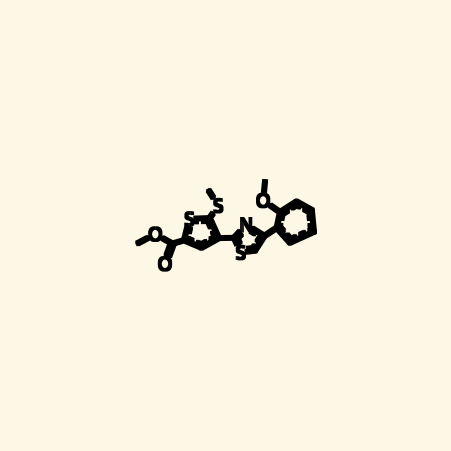 COC(=O)c1cc(-c2nc(-c3ccccc3OC)cs2)c(SC)s1